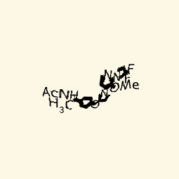 COc1c(N2CC[C@@H](Oc3ccc([C@H](C)NC(C)=O)cc3)C2)ccnc1N1CCC(F)(F)C1